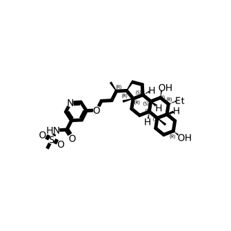 CC[C@H]1[C@@H](O)[C@@H]2[C@H](CC[C@]3(C)[C@@H]([C@H](C)CCOc4cncc(C(=O)NS(C)(=O)=O)c4)CC[C@@H]23)[C@@]2(C)CC[C@@H](O)C[C@@H]12